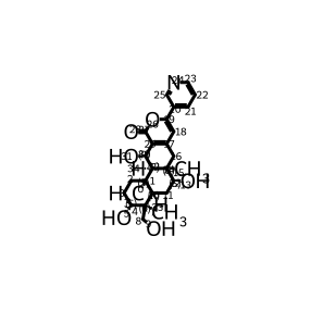 C[C@]12CC[C@H](O)[C@@](C)(CO)[C@@H]1C[C@H](O)[C@@]1(C)Cc3cc(-c4cccnc4)oc(=O)c3[C@H](O)[C@H]21